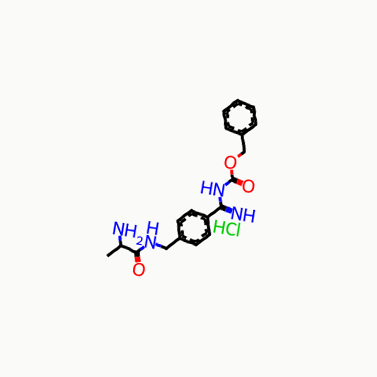 CC(N)C(=O)NCc1ccc(C(=N)NC(=O)OCc2ccccc2)cc1.Cl